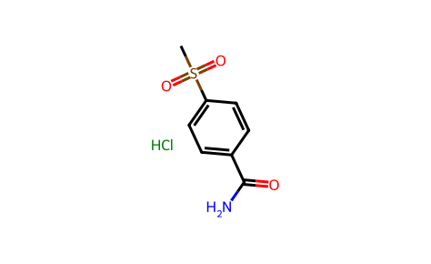 CS(=O)(=O)c1ccc(C(N)=O)cc1.Cl